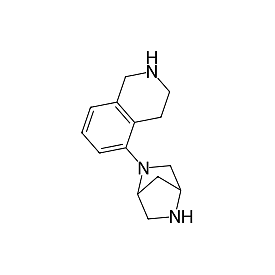 c1cc2c(c(N3CC4CC3CN4)c1)CCNC2